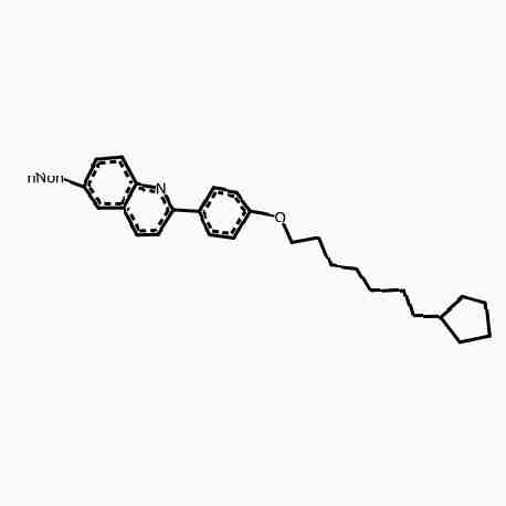 CCCCCCCCCc1ccc2nc(-c3ccc(OCCCCCCCC4CCCC4)cc3)ccc2c1